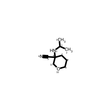 CC(C)NC1(C#N)CCCOC1